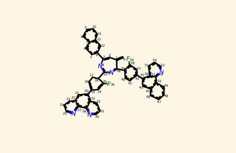 C=C1C=C(c2ccc3ccccc3c2)N=C(C2CC=C(c3cc4cccnc4c4ncccc34)C=C2F)N=C1c1ccc(-c2cc3ccccc3c3ncccc23)cc1F